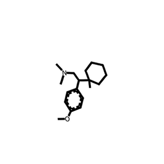 COc1ccc(C(CN(C)C)C2(C)CCCCC2)cc1